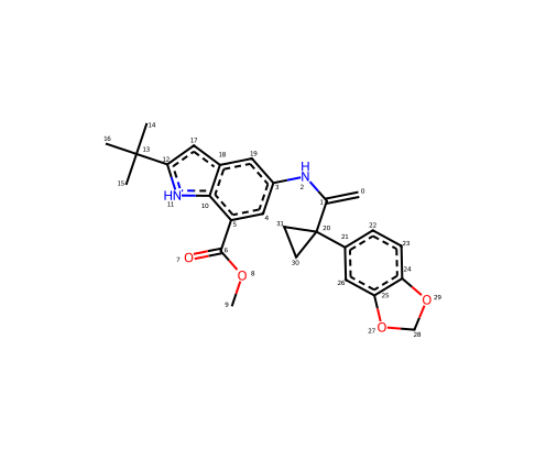 C=C(Nc1cc(C(=O)OC)c2[nH]c(C(C)(C)C)cc2c1)C1(c2ccc3c(c2)OCO3)CC1